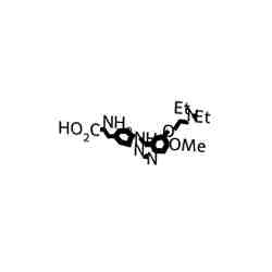 CCN(CC)CCCOc1cc2c(Nc3ccc(CC(N)C(=O)O)cc3)ncnc2cc1OC